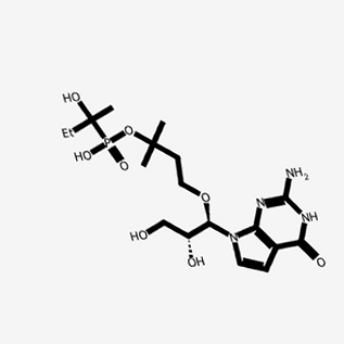 CCC(C)(O)P(=O)(O)OC(C)(C)CCO[C@H]([C@H](O)CO)n1ccc2c(=O)[nH]c(N)nc21